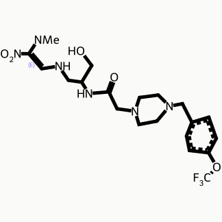 CN/C(=C\NCC(CO)NC(=O)CN1CCN(Cc2ccc(OC(F)(F)F)cc2)CC1)[N+](=O)[O-]